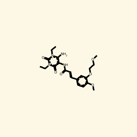 CCn1c(N)c(NC(=O)/C=C/c2ccc(OC)c(OCCOC)c2)c(=O)n(CC)c1=O